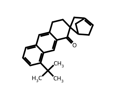 CC(C)(C)c1cccc2cc3c(cc12)C(=O)C1(CC3)CC2=CCC1C2